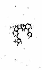 Cc1ncc(-c2cc3c(-c4nc5c(-c6ccsc6)nccc5[nH]4)n[nH]c3cn2)n1C